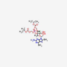 Bc1nc(N)nc2c1nc(B)n2C(CO)O[C@@](F)(CO)C(B)(B)OP(=O)(OCOC(=O)OC(C)C)OCOC(=O)OC(C)C